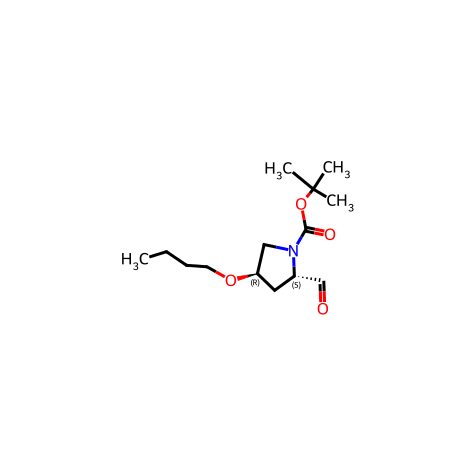 CCCCO[C@@H]1C[C@@H](C=O)N(C(=O)OC(C)(C)C)C1